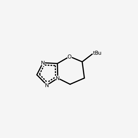 CC(C)(C)C1CCn2ncnc2O1